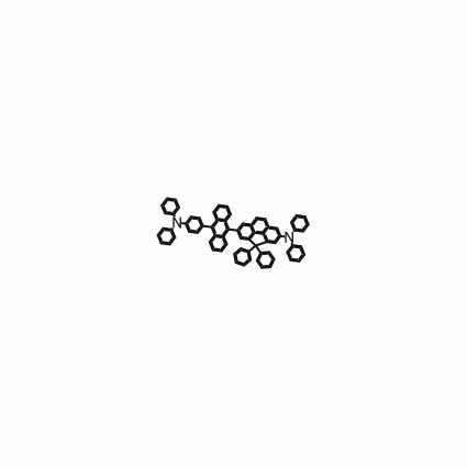 c1ccc(N(c2ccccc2)c2ccc(-c3c4ccccc4c(-c4cc5c6c(ccc7cc(N(c8ccccc8)c8ccccc8)cc(c76)C5(c5ccccc5)c5ccccc5)c4)c4ccccc34)cc2)cc1